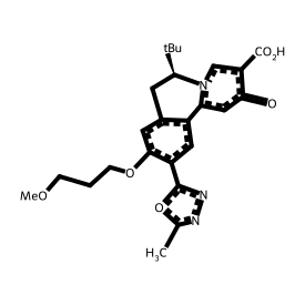 COCCCOc1cc2c(cc1-c1nnc(C)o1)-c1cc(=O)c(C(=O)O)cn1[C@H](C(C)(C)C)C2